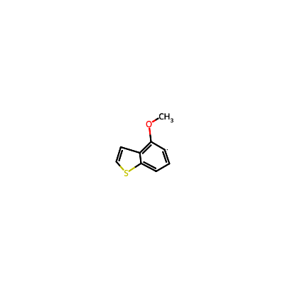 COc1[c]ccc2sccc12